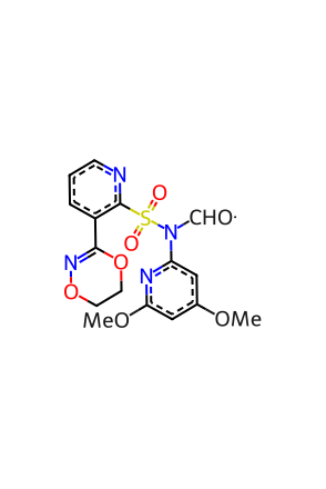 COc1cc(OC)nc(N([C]=O)S(=O)(=O)c2ncccc2C2=NOCCO2)c1